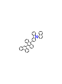 c1ccc2c(-n3c4ccccc4c4cc(-c5c6ccccc6c(-c6cc7ccccc7c7ccccc67)c6ccccc56)ccc43)cccc2c1